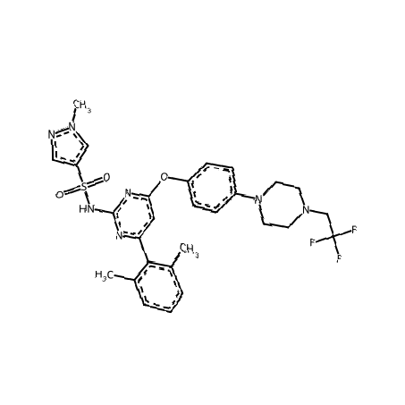 Cc1cccc(C)c1-c1cc(Oc2ccc(N3CCN(CC(F)(F)F)CC3)cc2)nc(NS(=O)(=O)c2cnn(C)c2)n1